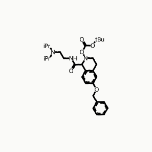 CC(C)N(CCNC(=O)C1c2ccc(OCc3ccccc3)cc2CCN1OC(=O)OC(C)(C)C)C(C)C